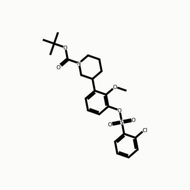 COc1c(OS(=O)(=O)c2ccccc2Cl)cccc1C1CCCN(C(=O)OC(C)(C)C)C1